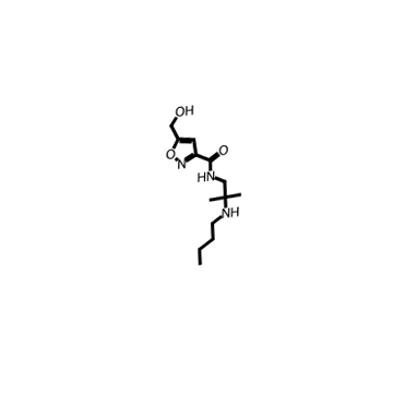 CCCCNC(C)(C)CNC(=O)c1cc(CO)on1